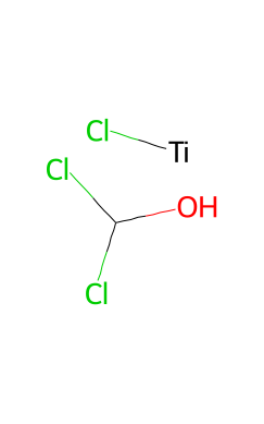 OC(Cl)Cl.[Cl][Ti]